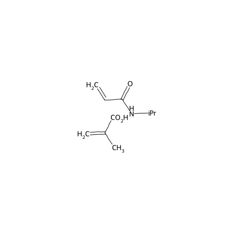 C=C(C)C(=O)O.C=CC(=O)NC(C)C